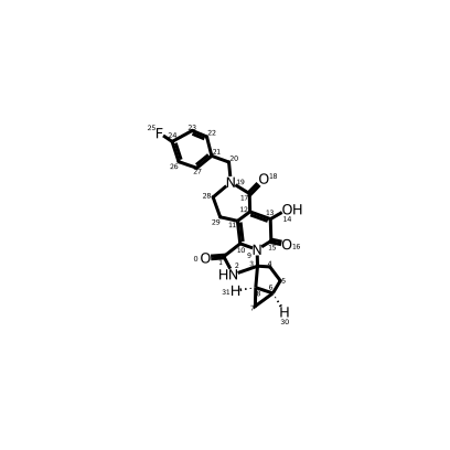 O=C1NC2(CC[C@H]3C[C@H]32)n2c1c1c(c(O)c2=O)C(=O)N(Cc2ccc(F)cc2)CC1